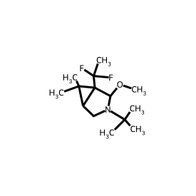 COC1N(C(C)(C)C)CC2C(C)(C)C12C(C)(F)F